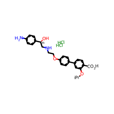 CC(C)Oc1cc(-c2ccc(OCCNC[C@H](O)c3ccc(N)cc3)cc2)ccc1C(=O)O.Cl.Cl